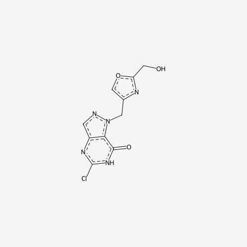 O=c1[nH]c(Cl)nc2cnn(Cc3coc(CO)n3)c12